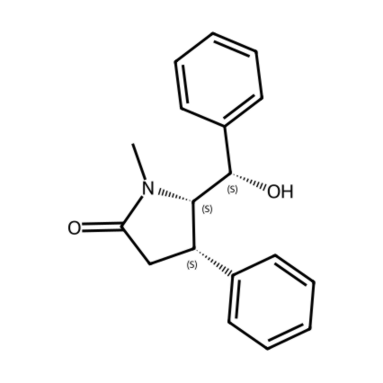 CN1C(=O)C[C@@H](c2ccccc2)[C@H]1[C@@H](O)c1ccccc1